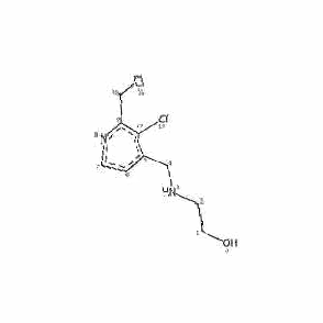 OCCNCc1ccnc(CCl)c1Cl